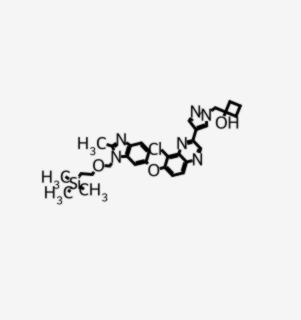 Cc1nc2ccc(Oc3ccc4ncc(-c5cnn(CC6(O)CCC6)c5)nc4c3Cl)cc2n1COCC[Si](C)(C)C